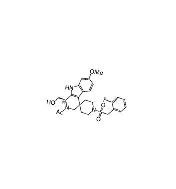 COc1ccc2c3c([nH]c2c1)[C@H](CO)N(C(C)=O)CC31CCN(S(=O)(=O)Cc2ccccc2F)CC1